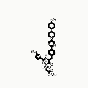 CCC[C@H]1CC[C@H](C2CCN(c3cnc(-c4ccc(CC(NC(=O)c5ccc(C(C)(C)C)s5)C(=O)NS(=O)(=O)CC(=O)OC)cc4)nc3)CC2)CC1